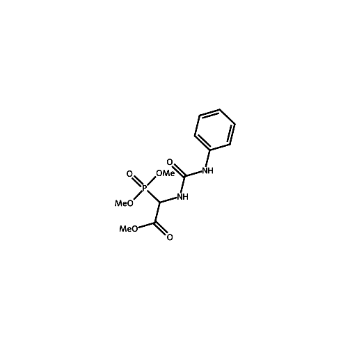 COC(=O)C(NC(=O)Nc1ccccc1)P(=O)(OC)OC